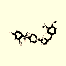 COc1ccc(Cc2csc(N3CCC(S(=O)(=O)c4ccc(F)cc4Cl)CC3)n2)cc1OC